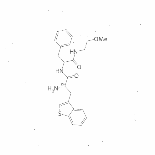 COCCNC(=O)C(Cc1ccccc1)NC(=O)[C@@H](N)Cc1csc2ccccc12